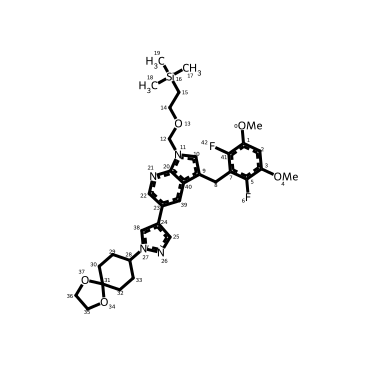 COc1cc(OC)c(F)c(Cc2cn(COCC[Si](C)(C)C)c3ncc(-c4cnn(C5CCC6(CC5)OCCO6)c4)cc23)c1F